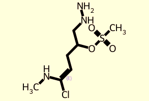 CN/C(Cl)=C\CC(CNN)OS(C)(=O)=O